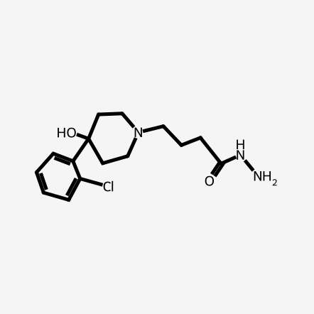 NNC(=O)CCCN1CCC(O)(c2ccccc2Cl)CC1